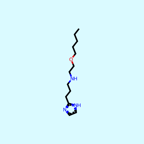 CCCCCOCCNCCCc1ncc[nH]1